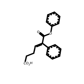 O=C(O)CCC=C(C(=O)Oc1ccccc1)c1ccccc1